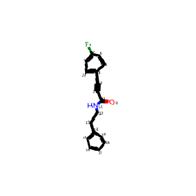 O=C(C#Cc1ccc(F)cc1)NCCc1ccccc1